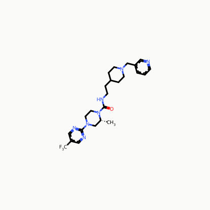 C[C@@H]1CN(c2ncc(C(F)(F)F)cn2)CCN1C(=O)NCCC1CCN(Cc2cccnc2)CC1